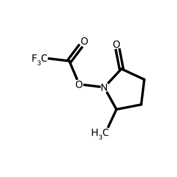 CC1CCC(=O)N1OC(=O)C(F)(F)F